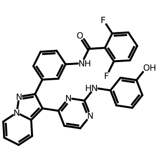 O=C(Nc1cccc(-c2nn3ccccc3c2-c2ccnc(Nc3cccc(O)c3)n2)c1)c1c(F)cccc1F